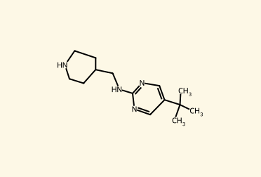 CC(C)(C)c1cnc(NCC2CCNCC2)nc1